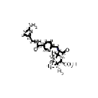 CC1(C)[C@H](C(=O)O)N2C(=O)/C(=C/c3ccc(C(=O)NCc4csc(N)n4)cn3)[C@H]2S1(=O)=O